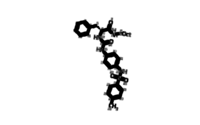 CCCCCCCCNC(=O)[C@@H](Cc1ccccc1)NC(=O)Nc1ccc(NS(=O)(=O)c2ccc(C)cc2)cc1